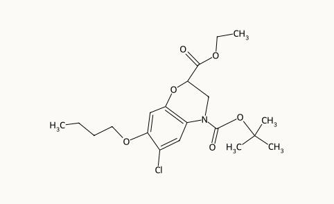 CCCCOc1cc2c(cc1Cl)N(C(=O)OC(C)(C)C)CC(C(=O)OCC)O2